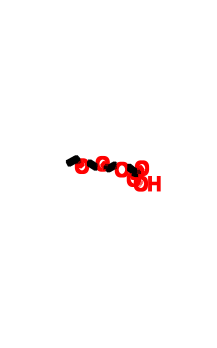 CCOCCOCCOCC(=O)OO